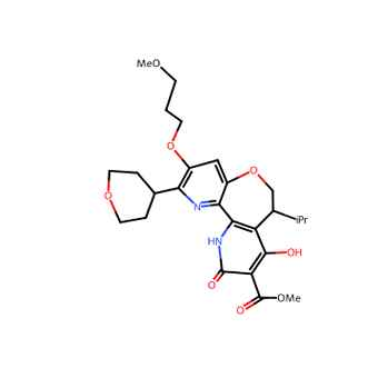 COCCCOc1cc2c(nc1C1CCOCC1)-c1[nH]c(=O)c(C(=O)OC)c(O)c1C(C(C)C)CO2